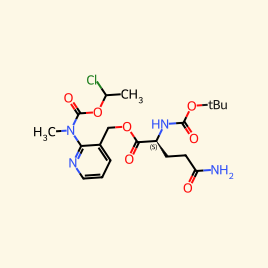 CC(Cl)OC(=O)N(C)c1ncccc1COC(=O)[C@H](CCC(N)=O)NC(=O)OC(C)(C)C